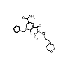 CN(C(=O)c1cc(C(N)=O)cn(Cc2ccccc2)c1=O)[C@@H]1C[C@H]1CCN1CCOCC1